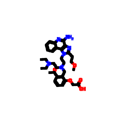 CCc1cccc(OCC(=O)O)c1CN(CCn1c(CCOC)nc2c(N)nc3ccccc3c21)C(=O)CN(CC)CC